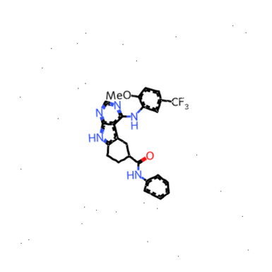 COc1ccc(C(F)(F)F)cc1Nc1ncnc2[nH]c3c(c12)CC(C(=O)Nc1ccccc1)CC3